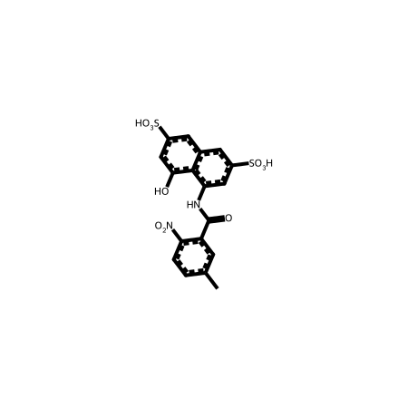 Cc1ccc([N+](=O)[O-])c(C(=O)Nc2cc(S(=O)(=O)O)cc3cc(S(=O)(=O)O)cc(O)c23)c1